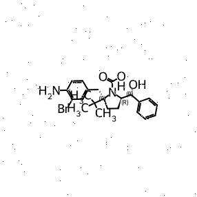 CC(C)(C)[C@]1(Cc2ccc(N)c(Br)c2)CC[C@H]([C@H](O)c2ccccc2)N1C(=O)O